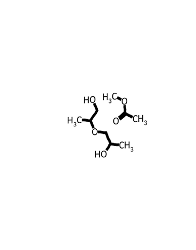 CC(O)COC(C)CO.COC(C)=O